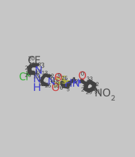 O=C(NCc1ccc(S(=O)(=O)N2CCC(Nc3ncc(C(F)(F)F)cc3Cl)CC2)s1)c1ccc([N+](=O)[O-])cc1